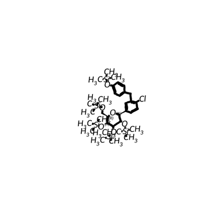 C[Si](C)(C)OC[C@H]1O[C@@H](c2ccc(Cl)c(Cc3ccc(O[Si](C)(C)C)cc3)c2)C(O[Si](C)(C)C)C(O[Si](C)(C)C)[C@@H]1O[Si](C)(C)C